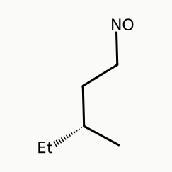 CC[C@@H](C)CCN=O